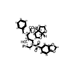 CC(C)CN(C[C@H](O)[C@H](Cc1ccccc1)N(C(=O)O)[C@H]1CO[C@H]2OCC[C@H]21)S(=O)(=O)c1ccc2c(c1)OCO2